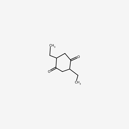 CCC1CC(=O)C(CC)CC1=O